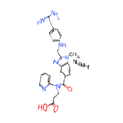 Cn1c(CNc2ccc(C(=N)N)cc2)nc2cc(C(=O)N(CCC(=O)O)c3ccccn3)ccc21.[NaH]